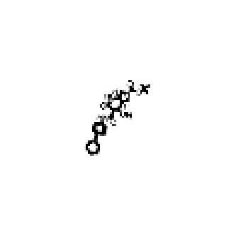 CC(C)(C)OC(=O)N1C[C@@H]2NC(=O)C(C(=O)Nc3ccc(C4CCCCC4)cc3)=C(O)[C@H]2C1